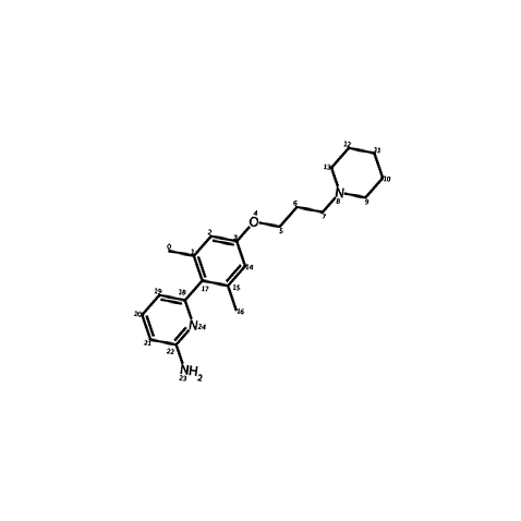 Cc1cc(OCCCN2CCCCC2)cc(C)c1-c1cccc(N)n1